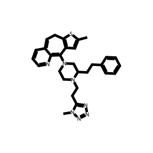 Cc1cc2c(s1)CC=c1cccnc1=C2N1CCN(CCc2nnnn2C)C(CCc2ccccc2)C1